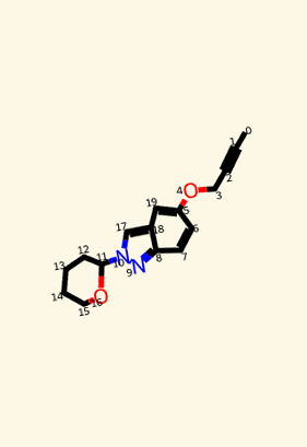 CC#CCOc1ccc2nn(C3CCCCO3)cc2c1